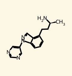 C[C@H](N)CCc1cccc2c1cnn2-c1cncnc1